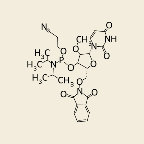 COC1C(OP(OCCC#N)N(C(C)C)C(C)C)[C@@H](CON2C(=O)c3ccccc3C2=O)O[C@H]1n1ccc(=O)[nH]c1=O